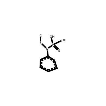 OP(O)(=S)N(SCl)c1ccccc1